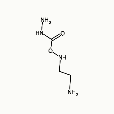 NCCNOC(=O)NN